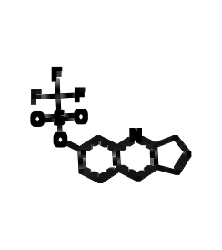 O=S(=O)(Oc1ccc2cc3c(nc2c1)CC=C3)C(F)(F)F